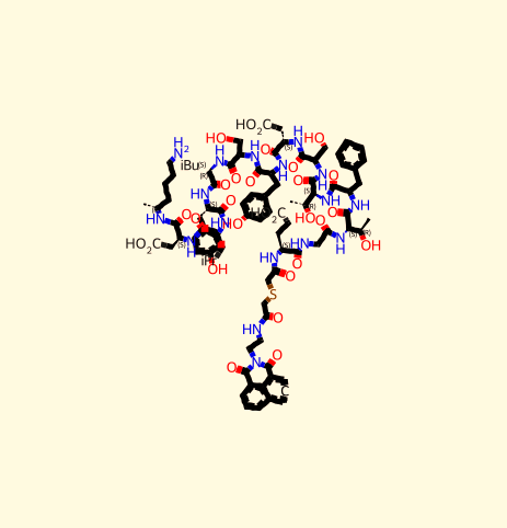 CC[C@H](C)[C@@H](NC(=O)C(CO)NC(=O)C(Cc1ccc(O)cc1)NC(=O)[C@H](CC(=O)O)NC(=O)C(CO)NC(=O)[C@@H](NC(=O)C(Cc1ccccc1)NC(=O)[C@@H](NC(=O)CNC(=O)[C@H](CCC(=O)O)NC(=O)CSCC(=O)NCCN1C(=O)c2cccc3cccc(c23)C1=O)[C@@H](C)O)[C@@H](C)O)C(=O)N[C@@H](Cc1ccc(O)cc1)C(=O)NC(CC(C)C)C(=O)N[C@@H](CC(=O)O)C(=O)N[C@H](C)CCCCN